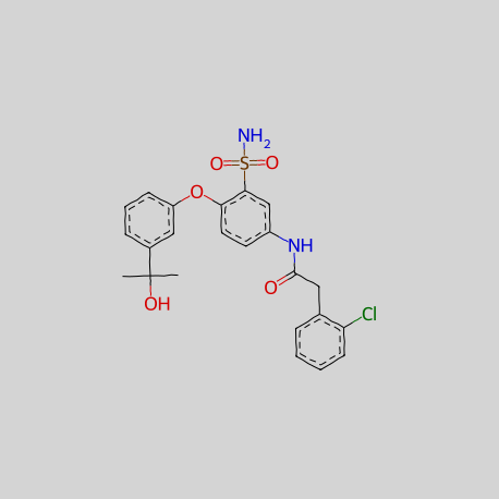 CC(C)(O)c1cccc(Oc2ccc(NC(=O)Cc3ccccc3Cl)cc2S(N)(=O)=O)c1